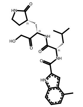 Cc1cccc2[nH]c(C(=O)N[C@@H](CC(C)C)C(=O)N[C@@H](C[C@@H]3CCNC3=O)C(=O)CO)cc12